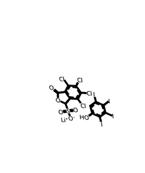 O=C1OC(S(=O)(=O)[O-])c2c(Cl)c(Cl)c(Cl)c(Cl)c21.Oc1cc(I)c(I)c(I)c1I.[Li+]